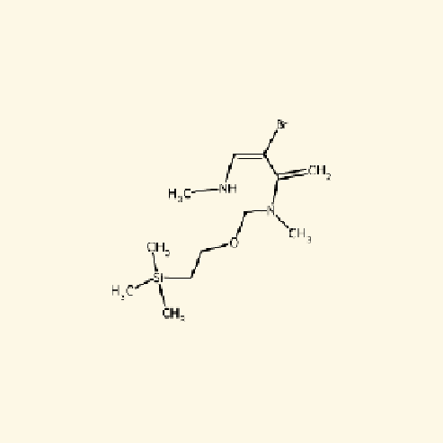 C=C(/C(Br)=C\NC)N(C)COCC[Si](C)(C)C